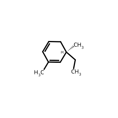 CC[C@@]1(C)C=C(C)C=CC1